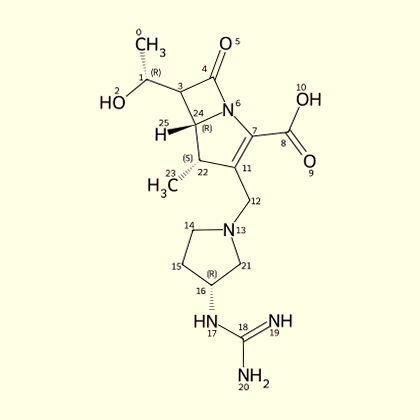 C[C@@H](O)C1C(=O)N2C(C(=O)O)=C(CN3CC[C@@H](NC(=N)N)C3)[C@H](C)[C@H]12